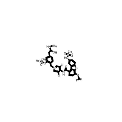 CC(C)(C)NC(O)Cc1ccc(C[n+]2cc(Cl)c(NC(=O)c3ccc(OC(F)F)c4oc5ccc(NS(C)(=O)=O)cc5c34)c(Cl)c2)c(OP(=O)(O)O)c1